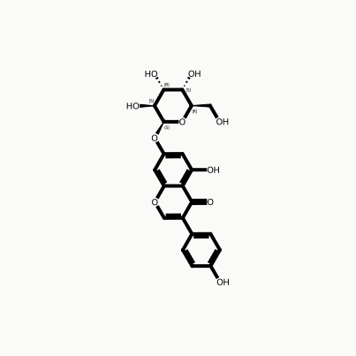 O=c1c(-c2ccc(O)cc2)coc2cc(O[C@@H]3O[C@H](CO)[C@@H](O)[C@@H](O)[C@@H]3O)cc(O)c12